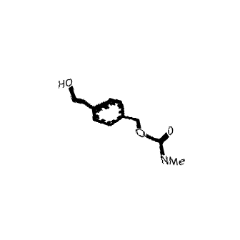 CNC(=O)OCc1ccc(CO)cc1